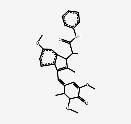 COC1=C/C(=C\C2=C(C)C(C(C)C(=O)Nc3ccccc3)c3cc(OC)ccc32)C(C)C(OC)C1=O